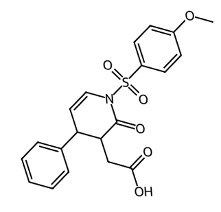 COc1ccc(S(=O)(=O)N2C=CC(c3ccccc3)C(CC(=O)O)C2=O)cc1